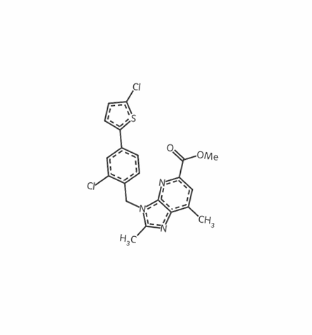 COC(=O)c1cc(C)c2nc(C)n(Cc3ccc(-c4ccc(Cl)s4)cc3Cl)c2n1